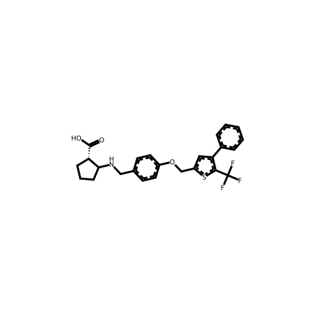 O=C(O)[C@H]1CCCC1NCc1ccc(OCc2cc(-c3ccccc3)c(C(F)(F)F)s2)cc1